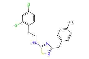 Cc1ccc(Cc2nsc(NCCc3ccc(Cl)cc3Cl)n2)cc1